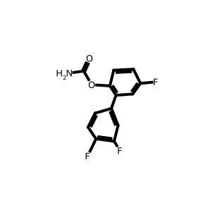 NC(=O)Oc1ccc(F)cc1-c1ccc(F)c(F)c1